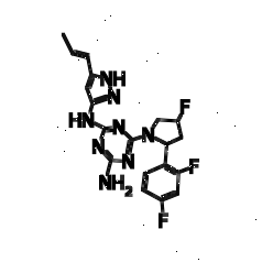 C/C=C/c1cc(Nc2nc(N)nc(N3CC(F)CC3c3ccc(F)cc3F)n2)n[nH]1